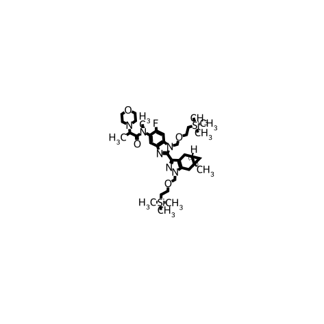 CC(C(=O)N(C)c1cc2nc(-c3nn(COCC[Si](C)(C)C)c4c3C[C@@H]3C[C@]3(C)C4)n(COCC[Si](C)(C)C)c2cc1F)N1CCOCC1